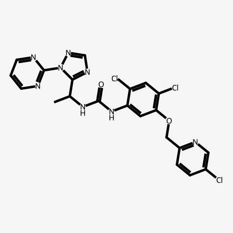 CC(NC(=O)Nc1cc(OCc2ccc(Cl)cn2)c(Cl)cc1Cl)c1ncnn1-c1ncccn1